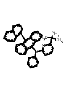 CC(C)(C)c1cccc(N(c2ccccc2)c2c3ccccc3c(-c3cccc4ccccc34)c3ccccc23)n1